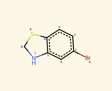 Brc1ccc2c(c1)NCS2